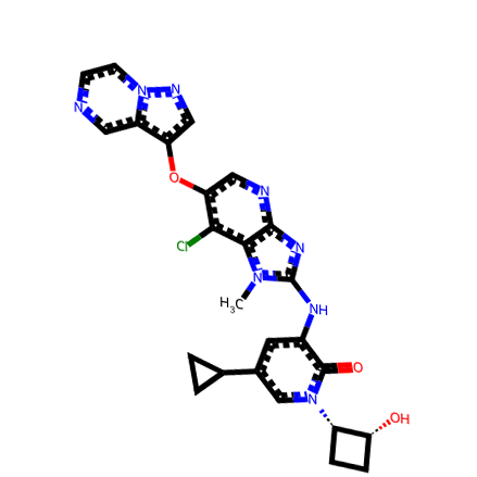 Cn1c(Nc2cc(C3CC3)cn([C@H]3CC[C@H]3O)c2=O)nc2ncc(Oc3cnn4ccncc34)c(Cl)c21